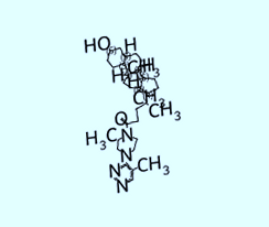 Cc1cncnc1N1CCN(C(=O)CCC(C)[C@H]2CC[C@H]3[C@@H]4CC[C@H]5C[C@@H](O)CC[C@]5(C)[C@H]4CC[C@]23C)C(C)C1